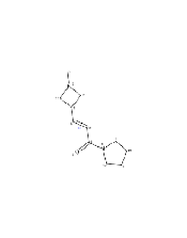 CN1CC(/C=C/C(=O)N2CCCC2)C1